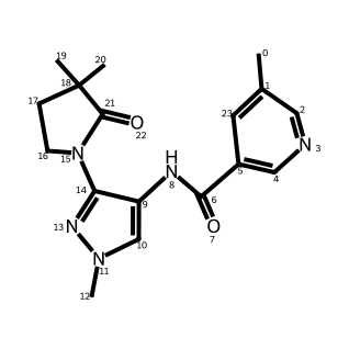 Cc1cncc(C(=O)Nc2cn(C)nc2N2CCC(C)(C)C2=O)c1